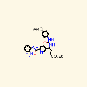 CCOC(=O)CCC(NC(=O)Nc1ccc(OC)cc1)c1ccc(C(=O)Nc2ccccc2N)nc1